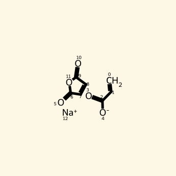 C=CC(=O)[O-].O=C1C=CC(=O)O1.[Na+]